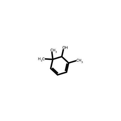 CC1=CC=CC(C)(C)C1O